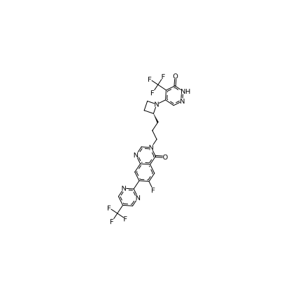 O=c1[nH]ncc(N2CC[C@@H]2CCCn2cnc3cc(-c4ncc(C(F)(F)F)cn4)c(F)cc3c2=O)c1C(F)(F)F